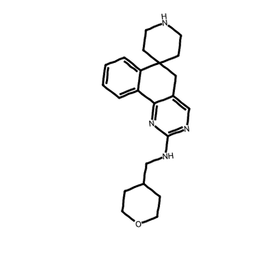 c1ccc2c(c1)-c1nc(NCC3CCOCC3)ncc1CC21CCNCC1